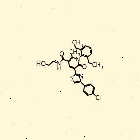 CCc1cccc(CC)c1-n1c(C)c(C(=O)NCCO)cc(-c2nc(-c3ccc(Cl)cc3)cs2)c1=O